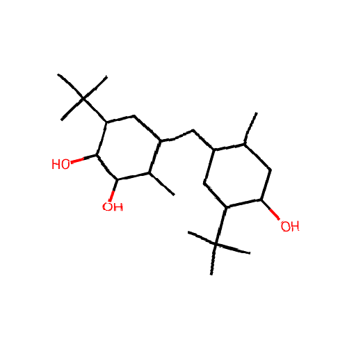 CC1CC(O)C(C(C)(C)C)CC1CC1CC(C(C)(C)C)C(O)C(O)C1C